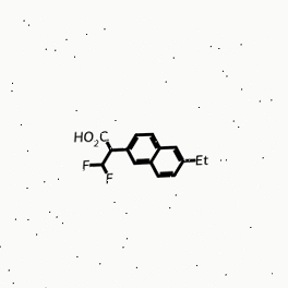 CCc1ccc2cc(C(C(=O)O)C(F)F)ccc2c1